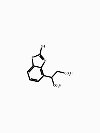 O=C(O)CC(C(=O)O)c1cccc2sc(S)nc12